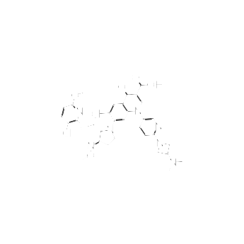 CO/N=C1\CCN(c2cc3c(cc2Cl)c(=O)c(C(=O)O)cn3-c2ccc(N3CC(N(C)C)C3)nc2)C1COc1nc(OC)ccc1Cl